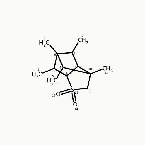 CC1C2C3C(C)C1(C)C(C)C2(C)CS3(=O)=O